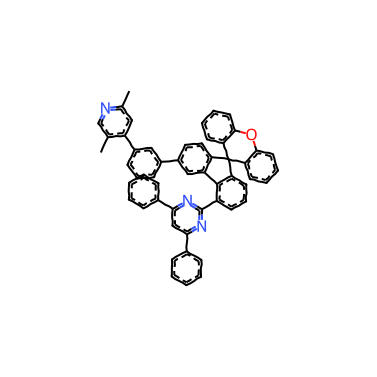 Cc1cc(-c2cccc(-c3ccc4c(c3)-c3c(-c5nc(-c6ccccc6)cc(-c6ccccc6)n5)cccc3C43c4ccccc4Oc4ccccc43)c2)c(C)cn1